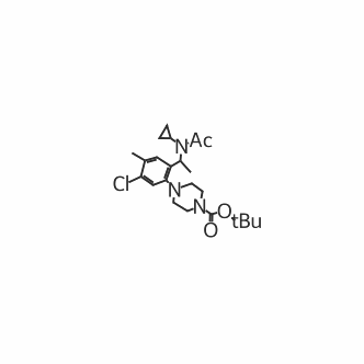 CC(=O)N(C1CC1)C(C)c1cc(C)c(Cl)cc1N1CCN(C(=O)OC(C)(C)C)CC1